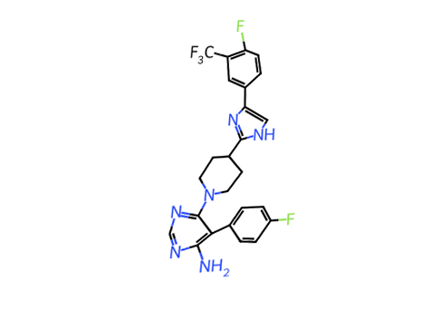 Nc1ncnc(N2CCC(c3nc(-c4ccc(F)c(C(F)(F)F)c4)c[nH]3)CC2)c1-c1ccc(F)cc1